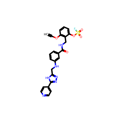 C#COc1cccc(OS(=O)(=O)F)c1CNC(=O)c1cccc(NCc2nnc(-c3ccncc3)[nH]2)c1